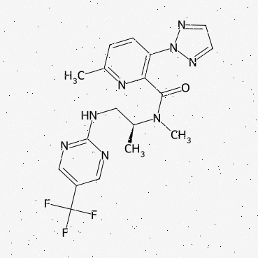 Cc1ccc(-n2nccn2)c(C(=O)N(C)[C@@H](C)CNc2ncc(C(F)(F)F)cn2)n1